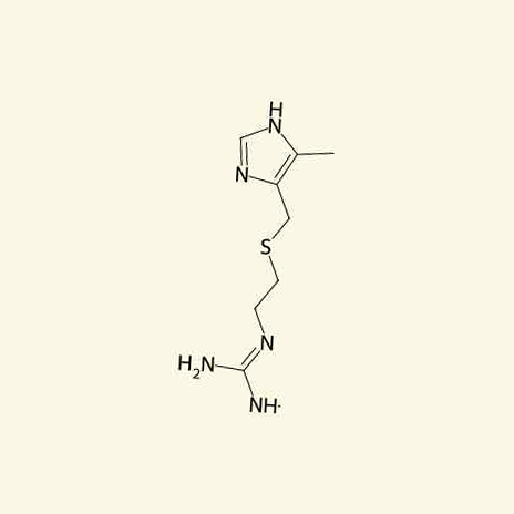 Cc1[nH]cnc1CSCCN=C([NH])N